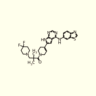 CC(C)(CN1CCC(F)(F)CC1)C(=O)N1CC=C(c2cc3c(Nc4ccc5ncsc5c4)ncnc3[nH]2)CC1